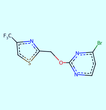 FC(F)(F)c1csc(COc2nccc(Br)n2)n1